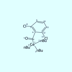 CCC[CH2][Ge]([CH2]CCC)([CH2]CCC)[C](=O)c1c(Cl)cccc1Cl